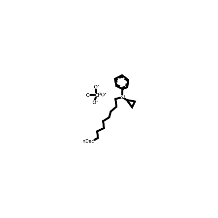 CCCCCCCCCCCCCCCCCC[S+](c1ccccc1)C1CC1.[O-][Cl+3]([O-])([O-])[O-]